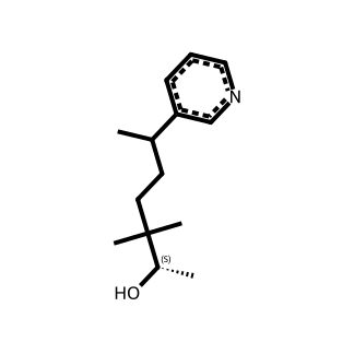 CC(CCC(C)(C)[C@H](C)O)c1cccnc1